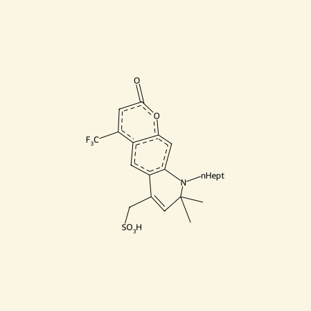 CCCCCCCN1c2cc3oc(=O)cc(C(F)(F)F)c3cc2C(CS(=O)(=O)O)=CC1(C)C